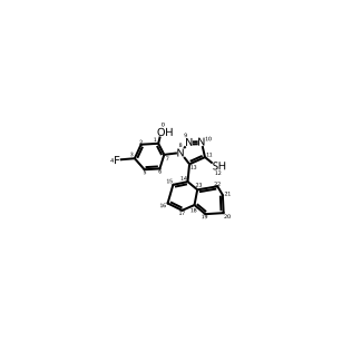 Oc1cc(F)ccc1-n1nnc(S)c1-c1cccc2ccccc12